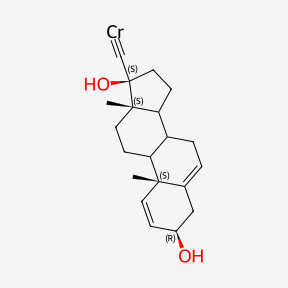 C[C@]12C=C[C@H](O)CC1=CCC1C2CC[C@@]2(C)C1CC[C@@]2(O)[C]#[Cr]